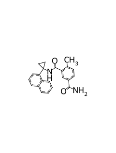 Cc1ccc(C(N)=O)cc1C(=O)NC1(c2cccc3ccccc23)CC1